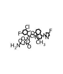 Cc1cc(-n2cc(F)cn2)c2cccc(OCc3c(Cl)cc(F)cc3[C@H](C)N3CC(=O)N(CC(N)=O)C3=O)c2n1